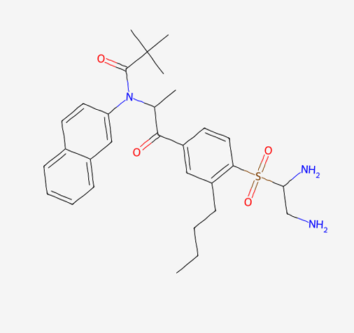 CCCCc1cc(C(=O)C(C)N(C(=O)C(C)(C)C)c2ccc3ccccc3c2)ccc1S(=O)(=O)C(N)CN